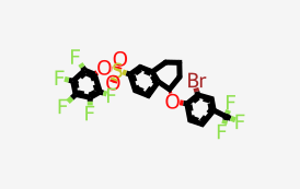 O=S(=O)(Oc1c(F)c(F)c(F)c(F)c1F)c1ccc2c(c1)CCC[C@H]2Oc1ccc(C(F)(F)F)cc1Br